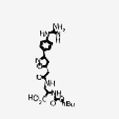 CCCCOC(=O)NC(CNC(=O)C[C@H]1CC(c2ccc(NC(=N)N)cc2)=NO1)C(=O)O